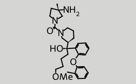 COCCCC[C@@](O)(c1ccccc1Oc1ccccc1C)[C@@H]1CCCN(C(=O)N2CC[C@](C)(N)C2)C1